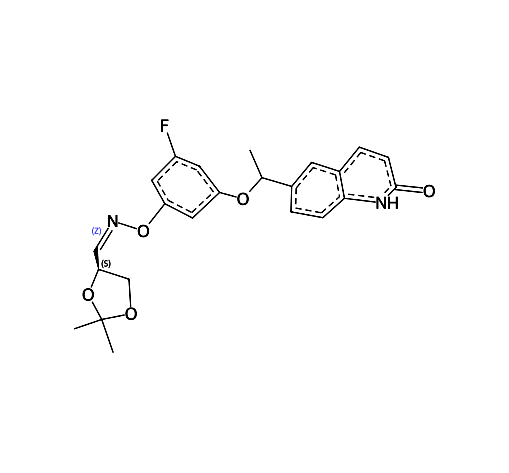 CC(Oc1cc(F)cc(O/N=C\[C@H]2COC(C)(C)O2)c1)c1ccc2[nH]c(=O)ccc2c1